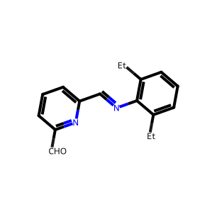 CCc1cccc(CC)c1/N=C/c1cccc(C=O)n1